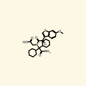 COc1ccc2c(C(=O)C(=O)N(CC(=O)O)C(C(N)=O)(C3CCCCC3)C3CCCCC3)csc2c1